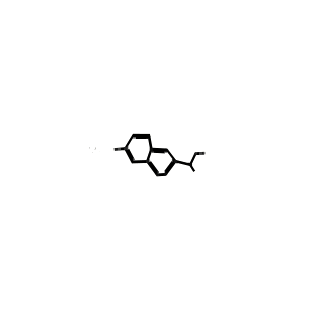 COc1ccc2cc(C(C)CC(=O)O)ccc2c1